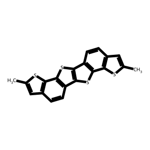 Cc1cc2ccc3c(sc4c5ccc6cc(C)sc6c5sc34)c2s1